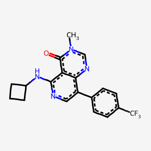 Cn1cnc2c(-c3ccc(C(F)(F)F)cc3)cnc(NC3CCC3)c2c1=O